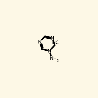 Cl.NN1C=NC=NC1